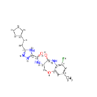 Cc1cc(F)c2c(c1)OC[C@H](NC(=O)c1nnc(CCC3CCCC3)[nH]1)C(=O)N2